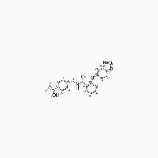 O=C(NCc1ccc(C2(O)CC2)cc1)c1cccnc1Oc1ccc2nonc2c1